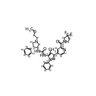 COCCN1C[C@@H](NC(=O)Nc2c(C)c(-c3ccnc(C(=O)NCC(F)(F)F)c3)nn2-c2ccccc2)[C@H](c2ccccc2)C1